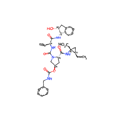 C=C[C@@H]1C[C@]1(NC(=O)[C@@H]1C[C@@H](OC(=O)NCc2ccccc2)CN1C(=O)N[C@H](C(=O)N[C@H]1c2ccccc2C[C@H]1O)C(C)(C)C)C(=O)O